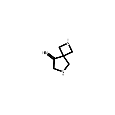 N=C1CNCC12CNC2